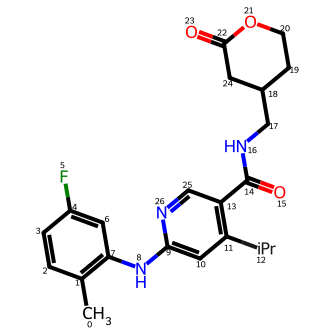 Cc1ccc(F)cc1Nc1cc(C(C)C)c(C(=O)NCC2CCOC(=O)C2)cn1